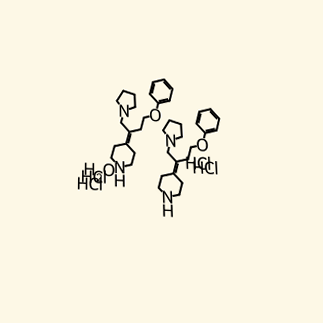 Cl.Cl.Cl.Cl.O.c1ccc(OCCC(CN2CCCC2)=C2CCNCC2)cc1.c1ccc(OCCC(CN2CCCC2)=C2CCNCC2)cc1